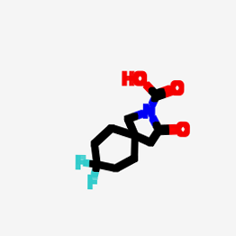 O=C(O)N1CC2(CCC(F)(F)CC2)CC1=O